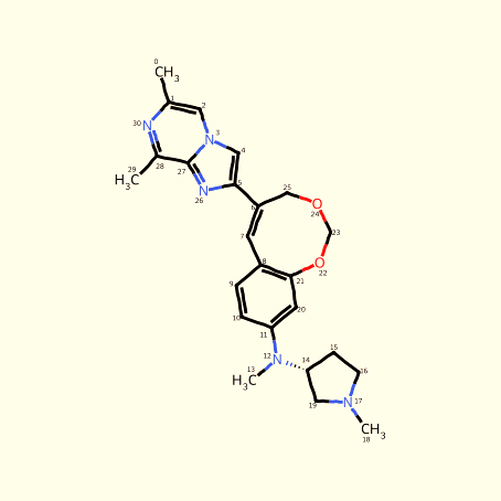 Cc1cn2cc(/C3=C/c4ccc(N(C)[C@@H]5CCN(C)C5)cc4OCOC3)nc2c(C)n1